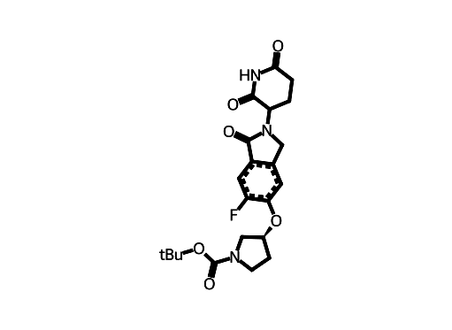 CC(C)(C)OC(=O)N1CC[C@H](Oc2cc3c(cc2F)C(=O)N(C2CCC(=O)NC2=O)C3)C1